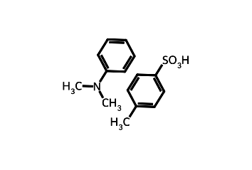 CN(C)c1ccccc1.Cc1ccc(S(=O)(=O)O)cc1